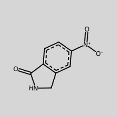 O=C1NCc2cc([N+](=O)[O-])ccc21